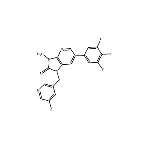 Cn1c(=O)n(Cc2cncc(Cl)c2)c2cc(-c3cc(F)c(F)c(F)c3)cnc21